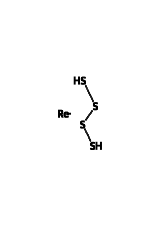 SSSS.[Re]